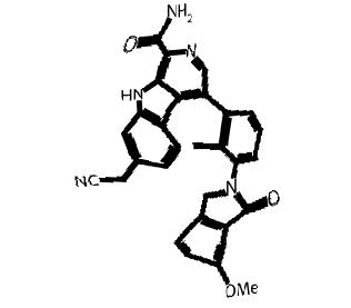 COc1ccc2c(c1)C(=O)N(c1cccc(-c3cnc(C(N)=O)c4[nH]c5cc(CC#N)ccc5c34)c1C)C2